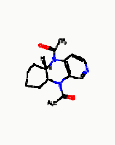 CC(=O)N1c2cnccc2N(C(C)=O)[C@H]2CCCCC21